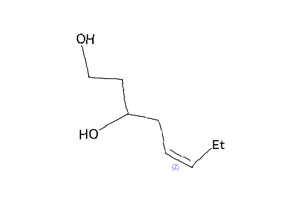 CC/C=C\CC(O)CCO